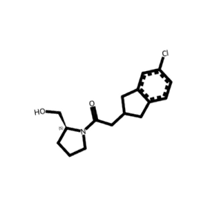 O=C(CC1Cc2ccc(Cl)cc2C1)N1CCC[C@H]1CO